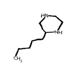 CCCCCC1CNCCN1